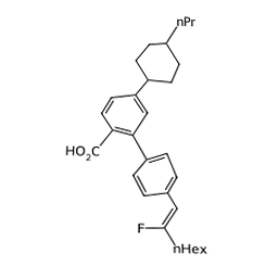 CCCCCCC(F)=Cc1ccc(-c2cc(C3CCC(CCC)CC3)ccc2C(=O)O)cc1